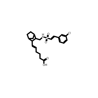 O=C(O)CCC/C=C/C1C2CCC(C2)C1CNS(=O)(=O)/C=C/c1cccc(Cl)c1